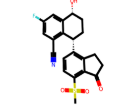 CS(=O)(=O)c1ccc([C@H]2CC[C@@H](O)c3cc(F)cc(C#N)c32)c2c1C(=O)CC2